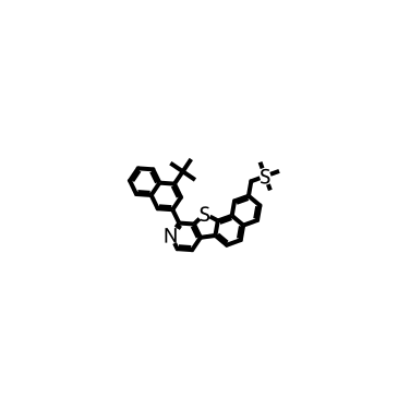 CC(C)(C)c1cc(-c2nccc3c2sc2c4cc(CS(C)(C)C)ccc4ccc32)cc2ccccc12